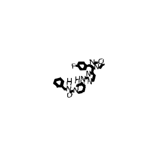 O=C(NCc1ccccc1)N1CCC[C@@H](Nc2nccc(-c3c(-c4ccc(F)cc4)nc4occn34)n2)C1